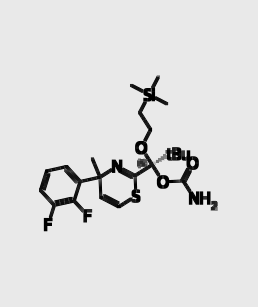 CC1(c2cccc(F)c2F)C=CSC([C@@](OCC[Si](C)(C)C)(OC(N)=O)C(C)(C)C)=N1